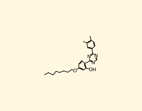 CCCCCCCCOc1ccc(-c2ncnc(-c3ccc(C)c(C)c3)n2)c(O)c1